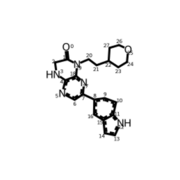 O=C1CNc2ncc(-c3ccc4[nH]ccc4c3)nc2N1CCC1CCOCC1